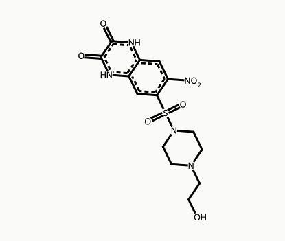 O=c1[nH]c2cc([N+](=O)[O-])c(S(=O)(=O)N3CCN(CCO)CC3)cc2[nH]c1=O